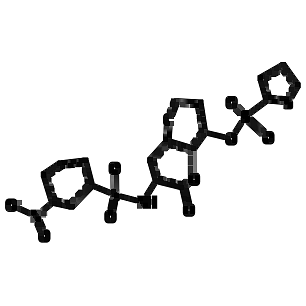 O=c1oc2c(OS(=O)(=O)c3cccs3)cccc2cc1NS(=O)(=O)c1cccc([N+](=O)[O-])c1